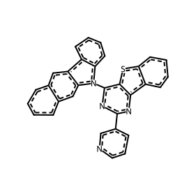 c1cncc(-c2nc(-n3c4ccccc4c4cc5ccccc5cc43)c3sc4ccccc4c3n2)c1